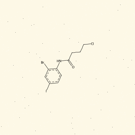 O=C(CCCCl)Nc1ccc(I)cc1Br